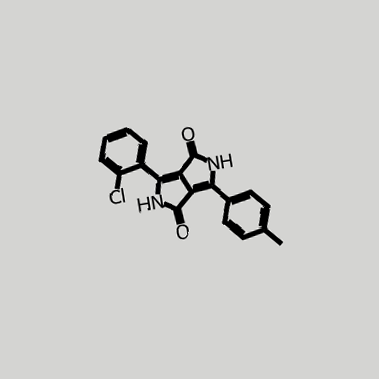 Cc1ccc(C2=C3C(=O)NC(c4ccccc4Cl)=C3C(=O)N2)cc1